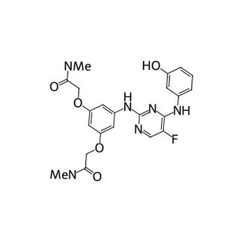 CNC(=O)COc1cc(Nc2ncc(F)c(Nc3cccc(O)c3)n2)cc(OCC(=O)NC)c1